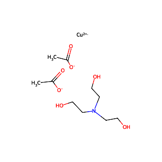 CC(=O)[O-].CC(=O)[O-].OCCN(CCO)CCO.[Cu+2]